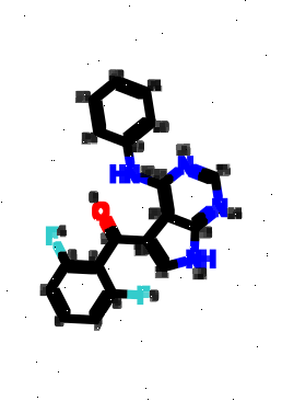 O=C(c1c(F)cccc1F)c1c[nH]c2ncnc(Nc3ccccc3)c12